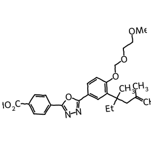 C=C(C)CC(C)(CC)c1cc(-c2nnc(-c3ccc(C(=O)O)cc3)o2)ccc1OCOCCOC